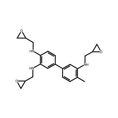 Cc1ccc(-c2ccc(NCC3CO3)c(NCC3CO3)c2)cc1NCC1CO1